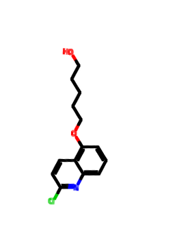 OCCCCCOc1cccc2nc(Cl)ccc12